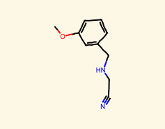 COc1cccc(CNCC#N)c1